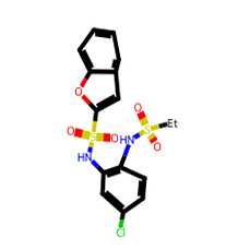 CCS(=O)(=O)Nc1ccc(Cl)cc1NS(=O)(=O)c1cc2ccccc2o1